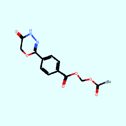 CC(C)(C)C(=O)OCOC(=O)c1ccc(C2=NNC(=O)CO2)cc1